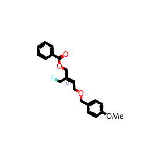 COc1ccc(COC/C=C(\CF)COC(=O)c2ccccc2)cc1